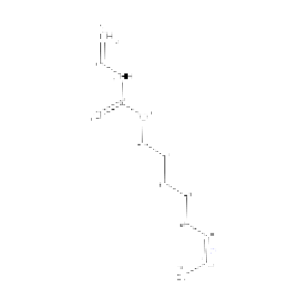 C=CNC(=O)OCCCCC/C=C\CC